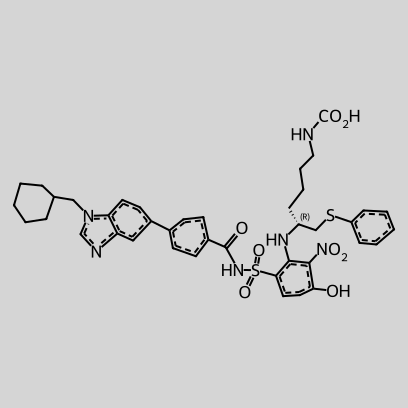 O=C(O)NCCCC[C@H](CSc1ccccc1)Nc1c(S(=O)(=O)NC(=O)c2ccc(-c3ccc4c(c3)ncn4CC3CCCCC3)cc2)ccc(O)c1[N+](=O)[O-]